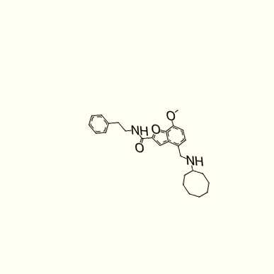 COc1ccc(CNC2CCCCCCC2)c2cc(C(=O)NCCc3ccccc3)oc12